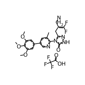 COc1cc(-c2cnc(-n3c(CC(CN)=C(F)F)n[nH]c3=O)c(C)c2)cc(OC)c1OC.O=C(O)C(F)(F)F